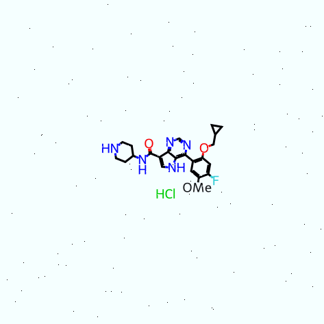 COc1cc(-c2ncnc3c(C(=O)NC4CCNCC4)c[nH]c23)c(OCC2CC2)cc1F.Cl